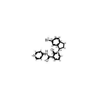 O=C(Nc1ccncc1)c1cccn(C2CCc3ccc(Br)cc32)c1=O